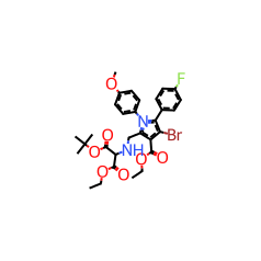 CCOC(=O)c1c(Br)c(-c2ccc(F)cc2)n(-c2ccc(OC)cc2)c1CNC(C(=O)OCC)C(=O)OC(C)(C)C